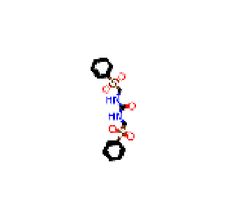 O=C(NCS(=O)(=O)c1ccccc1)NCS(=O)(=O)c1ccccc1